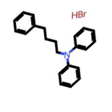 Br.c1ccc(CCCCN(c2ccccc2)c2ccccc2)cc1